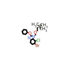 C[Si](C)(C)CCOCn1c(Oc2ccccc2)nc2ccc(Br)c(Cl)c21